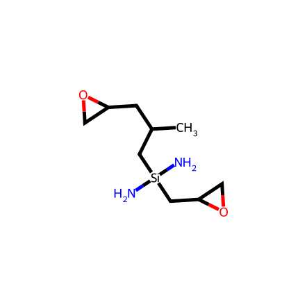 CC(CC1CO1)C[Si](N)(N)CC1CO1